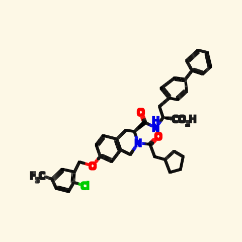 O=C(O)[C@H](Cc1ccc(-c2ccccc2)cc1)NC(=O)[C@@H]1Cc2ccc(OCc3cc(C(F)(F)F)ccc3Cl)cc2CN1C(=O)CC1CCCC1